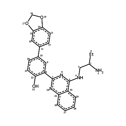 CCC(N)CNc1nc(-c2cc(-c3ccc4c(c3)OCO4)ccc2O)nc2ccccc12